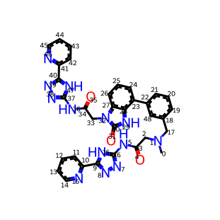 CN(CC(=O)Nc1nnc(-c2ccccn2)[nH]1)Cc1cccc(-c2cccc3c2[nH]c(=O)n3CC(=O)Nc2nnc(-c3ccccn3)[nH]2)c1